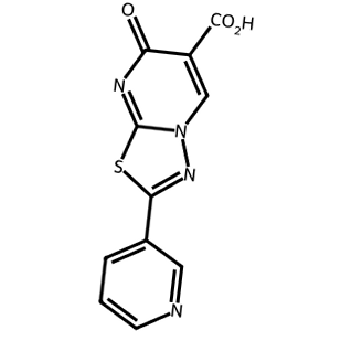 O=C(O)c1cn2nc(-c3cccnc3)sc2nc1=O